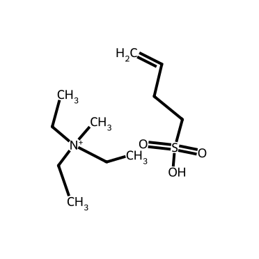 C=CCCS(=O)(=O)O.CC[N+](C)(CC)CC